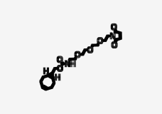 O=C(NCCOCCOCCOCCN1C(=O)C=CC1=O)OCC1[C@H]2CCC#CCC[C@@H]12